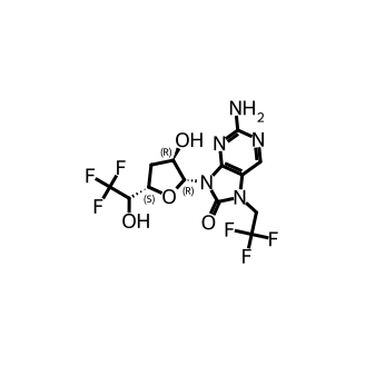 Nc1ncc2c(n1)n([C@@H]1O[C@H](C(O)C(F)(F)F)C[C@H]1O)c(=O)n2CC(F)(F)F